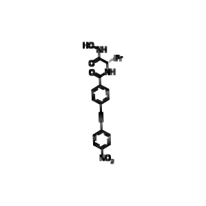 CC(C)[C@H](NC(=O)c1ccc(C#Cc2ccc([N+](=O)[O-])cc2)cc1)C(=O)NO